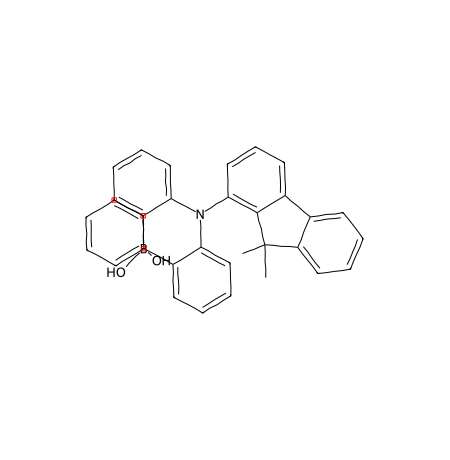 CC1(C)c2ccccc2-c2cccc(N(c3ccccc3B(O)O)c3ccccc3-c3ccccc3)c21